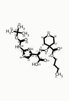 CCCCOC(=O)C1(O/N=C(\C(=O)O)c2csc(NC(=O)OC(C)(C)C)n2)CCOCC1